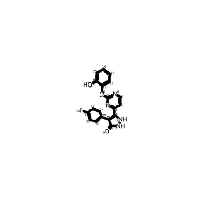 O=c1[nH][nH]c(-c2ccnc(Oc3ccccc3O)n2)c1-c1ccc(F)cc1